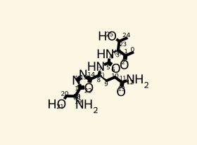 CC(=O)[C@@H](NC(=O)N[C@@H](CCC(N)=O)c1nnc([C@@H](N)CO)o1)C(C)O